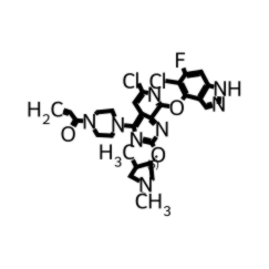 C=CC(=O)N1CCN(c2nc(O[C@@H]3CN(C)CC3C)nc3c(Oc4c(Cl)c(F)cc5[nH]ncc45)nc(Cl)cc23)CC1